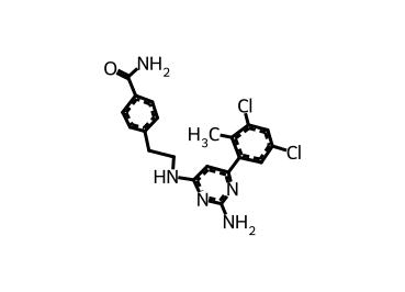 Cc1c(Cl)cc(Cl)cc1-c1cc(NCCc2ccc(C(N)=O)cc2)nc(N)n1